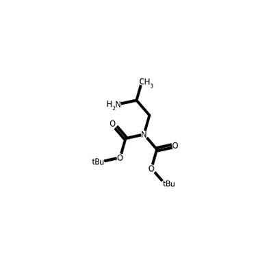 CC(N)CN(C(=O)OC(C)(C)C)C(=O)OC(C)(C)C